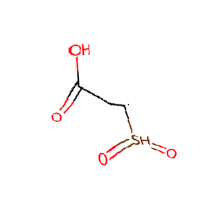 O=C(O)[CH][SH](=O)=O